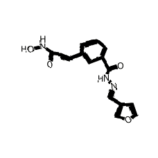 O=C(/C=C/c1cccc(C(=O)N/N=C/c2ccoc2)c1)NO